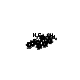 Cc1cccc(N(c2cc3oc4cc5ccccc5cc4c3c3ccccc23)c2cccc3c2oc2c(C(C)(C)C)cccc23)c1